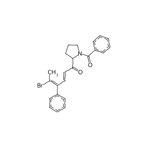 CC(Br)=C(C=CC(=O)C1CCCN1C(=O)c1ccccc1)c1ccccc1